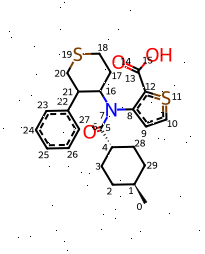 C[C@H]1CC[C@H](C(=O)N(c2ccsc2C(=O)O)C2CCSCC2c2ccccc2)CC1